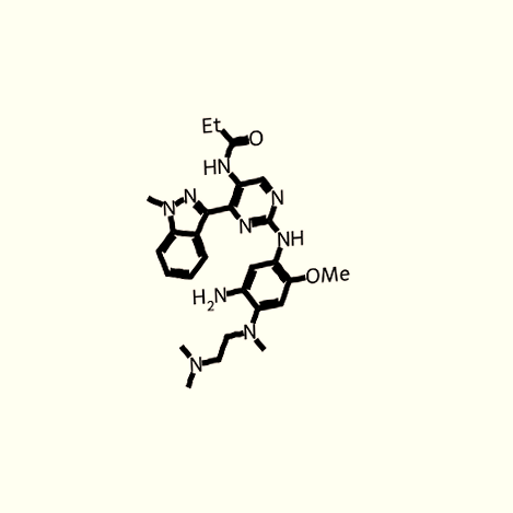 CCC(=O)Nc1cnc(Nc2cc(N)c(N(C)CCN(C)C)cc2OC)nc1-c1nn(C)c2ccccc12